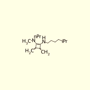 C=C1C(=C)C(N(C)CCC)=C1NCCCCC(C)C